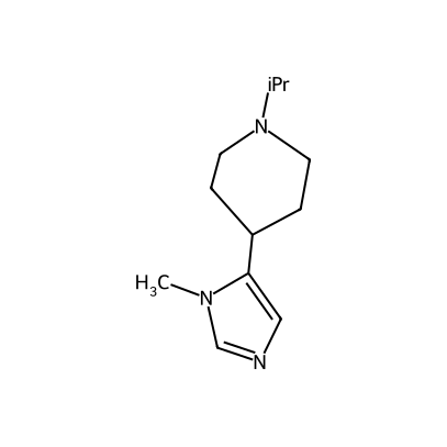 CC(C)N1CCC(c2cncn2C)CC1